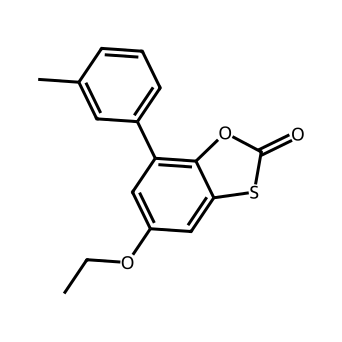 CCOc1cc(-c2cccc(C)c2)c2oc(=O)sc2c1